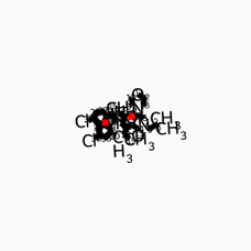 CC(C)CN(CC(=O)N1CCOCC1)C(=O)C1=C(C(C)C)N2C(=N[C@@](C)(c3ccc(Cl)cc3)[C@H]2c2ccc(Cl)cc2)S1